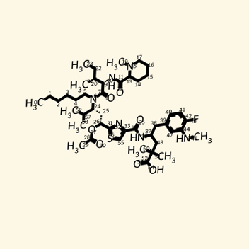 CCCCCCN(C(=O)[C@@H](NC(=O)C1CCCCN1C)[C@@H](C)CC)[C@H](C[C@@H](OC(C)=O)c1nc(C(=O)NC(Cc2ccc(F)c(NC)c2)CC(C)(C)C(=O)O)cs1)C(C)C